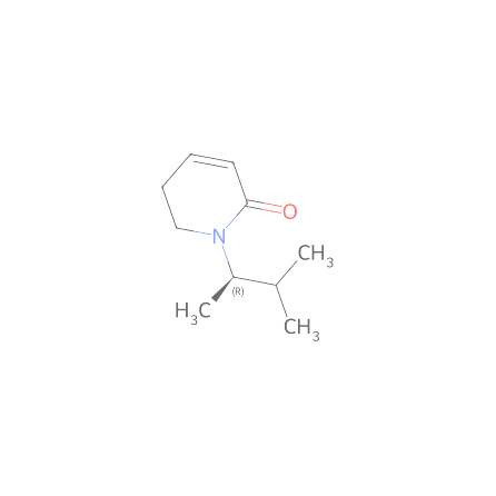 CC(C)[C@@H](C)N1CCC=CC1=O